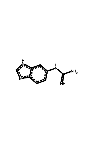 N=C(N)Nc1ccc2nc[nH]c2c1